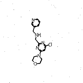 Clc1cc(N2CCOCC2)nc(CNCc2cccnc2)n1